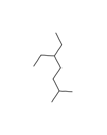 CCC([CH]CC(C)C)CC